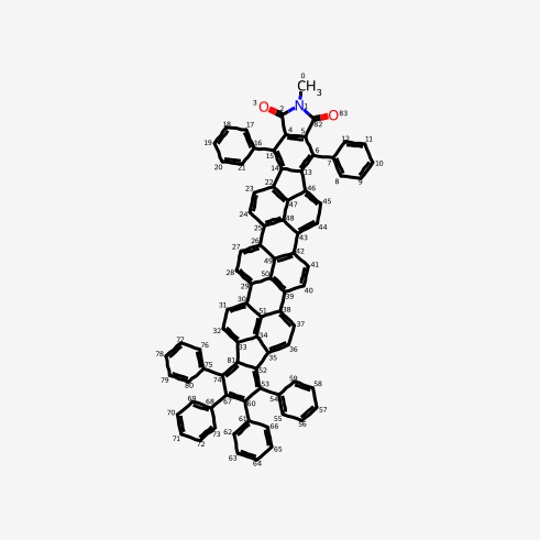 CN1C(=O)c2c(c(-c3ccccc3)c3c(c2-c2ccccc2)-c2ccc4c5ccc6c7ccc8c9c(ccc(c%10ccc(c%11ccc-3c2c4%11)c5c6%10)c97)-c2c(-c3ccccc3)c(-c3ccccc3)c(-c3ccccc3)c(-c3ccccc3)c2-8)C1=O